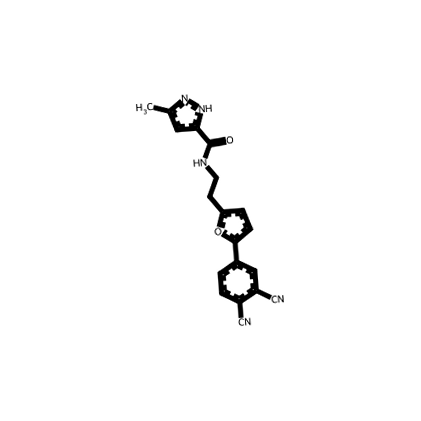 Cc1cc(C(=O)NCCc2ccc(-c3ccc(C#N)c(C#N)c3)o2)[nH]n1